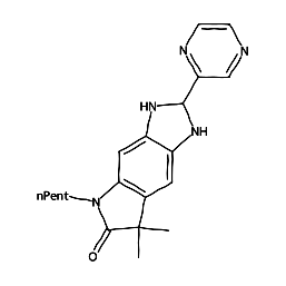 CCCCCN1C(=O)C(C)(C)c2cc3c(cc21)NC(c1cnccn1)N3